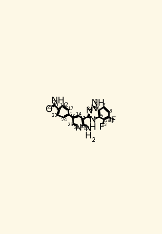 N=N/N=C(\Nc1cccc(F)c1F)c1cc(-c2ccc(C(N)=O)cc2)cnc1N